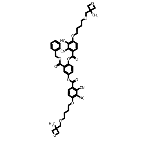 [C-]#[N+]c1c(OCCCCOCC2(C)COC2)ccc(C(=O)Oc2ccc(OC(=O)c3ccc(OCCCCOCC4(C)COC4)c(C#N)c3[N+]#[C-])c(C(=O)OCc3ccccc3)c2)c1C#N